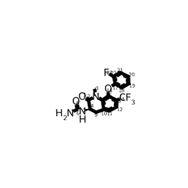 CN1C(=O)[C@H](NC(N)=O)Cc2ccc(C(F)(F)F)c(Oc3ccccc3F)c21